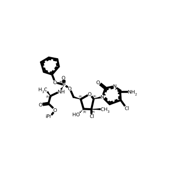 CC(C)OC(=O)[C@@H](C)N[P@@](=O)(OC[C@H]1O[C@@H](n2cc(Cl)c(N)nc2=O)[C@](C)(Cl)[C@@H]1O)Oc1ccccc1